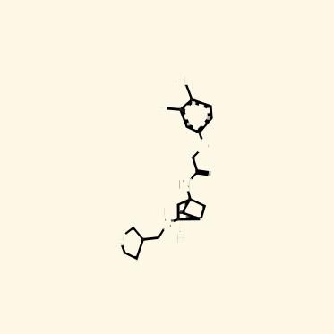 O=C(COc1ccc(Cl)c(F)c1)NC12CC(C1)[C@@H](NCC1CCOC1)C2